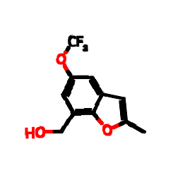 Cc1cc2cc(OC(F)(F)F)cc(CO)c2o1